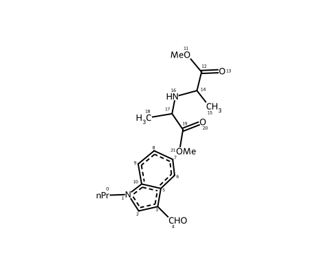 CCCn1cc(C=O)c2ccccc21.COC(=O)C(C)NC(C)C(=O)OC